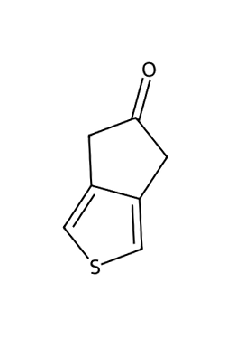 O=C1Cc2cscc2C1